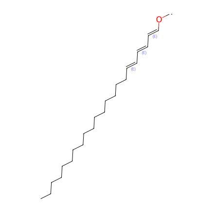 [CH2]O/C=C/C=C/C=C/CCCCCCCCCCCCCCCC